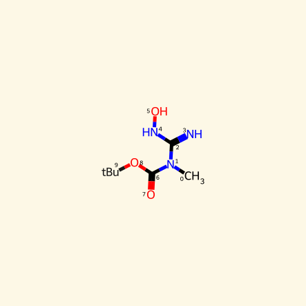 CN(C(=N)NO)C(=O)OC(C)(C)C